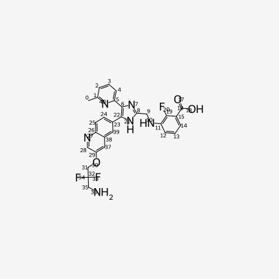 Cc1cccc(-c2nc(CNc3cccc(C(=O)O)c3F)[nH]c2-c2ccc3ncc(OCC(F)(F)CN)cc3c2)n1